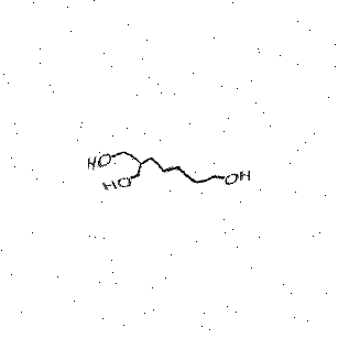 OCCCCCC(CO)CO